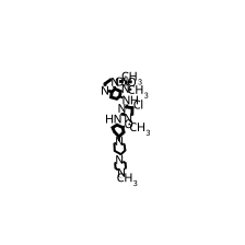 COc1cc(N2CCC(N3CCN(C)CC3)CC2)ccc1Nc1ncc(Cl)c(Nc2ccc3nccnc3c2N(C)S(C)(=O)=O)n1